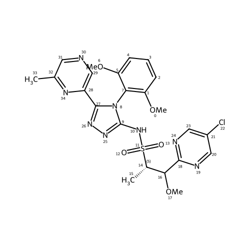 COc1cccc(OC)c1-n1c(NS(=O)(=O)[C@@H](C)C(OC)c2ncc(Cl)cn2)nnc1-c1cncc(C)n1